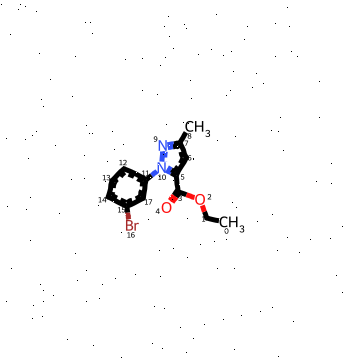 CCOC(=O)c1cc(C)nn1-c1cccc(Br)c1